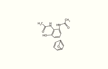 CC(=O)Nc1cccc(O)c1NC(C)=O.c1cc2cc(c1)O2